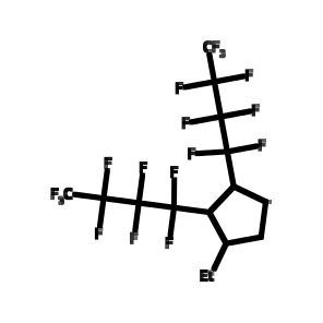 [CH2]CC1C[CH]C(C(F)(F)C(F)(F)C(F)(F)C(F)(F)F)C1C(F)(F)C(F)(F)C(F)(F)C(F)(F)F